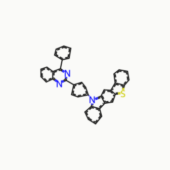 c1ccc(-c2nc(-c3ccc(-n4c5ccccc5c5cc6sc7ccccc7c6cc54)cc3)nc3ccccc23)cc1